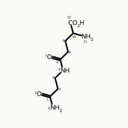 NC(=O)CCNC(=O)CCC(N)C(=O)O